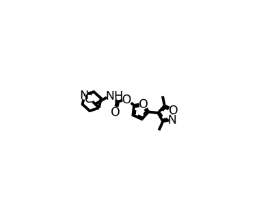 Cc1noc(C)c1-c1ccc(OC(=O)NC2CN3CCC2CC3)o1